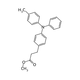 COC(=O)CCc1ccc(N(c2ccccc2)c2ccc(C)cc2)cc1